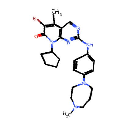 Cc1c(Br)c(=O)n(C2CCCC2)c2nc(Nc3ccc(N4CCCN(C)CC4)cc3)ncc12